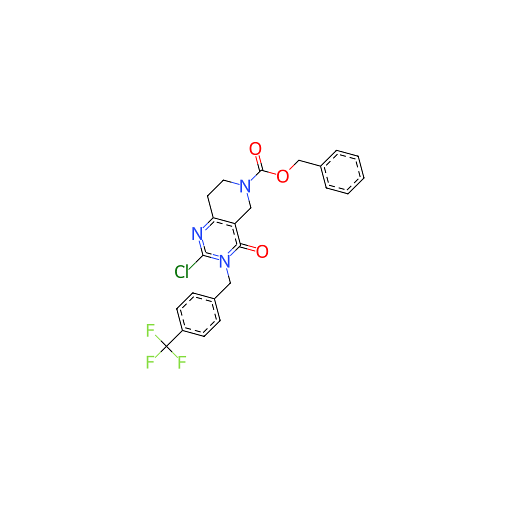 O=C(OCc1ccccc1)N1CCc2nc(Cl)n(Cc3ccc(C(F)(F)F)cc3)c(=O)c2C1